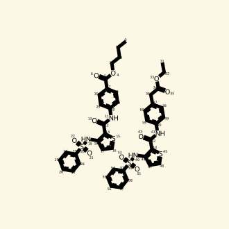 CCCCOC(=O)c1ccc(NC(=O)c2sccc2NS(=O)(=O)c2ccccc2)cc1.CCOC(=O)Cc1ccc(NC(=O)c2sccc2NS(=O)(=O)c2ccccc2)cc1